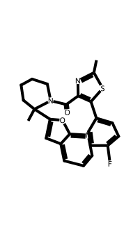 Cc1nc(C(=O)N2CCCCC2(C)c2cc3cccnc3o2)c(-c2ccc(F)cc2)s1